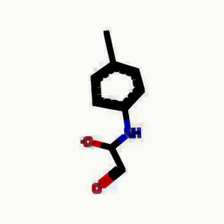 Cc1ccc(NC([O])C=O)cc1